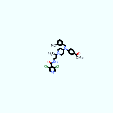 COC(=O)c1ccc(N(Cc2cccc(C#N)c2)C2CCN(C(C)CCNC(=O)c3c(Cl)cncc3Cl)CC2)cc1